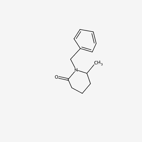 CC1CCCC(=O)N1Cc1ccccc1